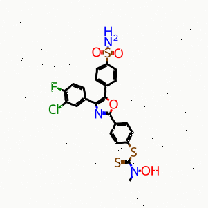 CN(O)C(=S)Sc1ccc(-c2nc(-c3ccc(F)c(Cl)c3)c(-c3ccc(S(N)(=O)=O)cc3)o2)cc1